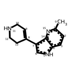 Cc1ccc2[nH]cc(C3=CCNCC3)c2n1